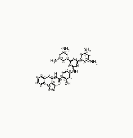 N[C@@H]1C[C@H](N)CN(c2nc(Nc3ccc(C(=O)NC(Cc4ccccc4)C4=COCO4)c(O)c3)nc(N3C[C@H](N)C[C@H](N)C3)n2)C1